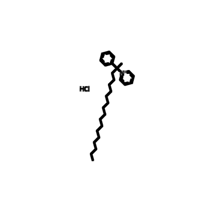 CCCCCCCCCCCCCCCCC(C)(c1ccccc1)[n+]1ccccc1.Cl